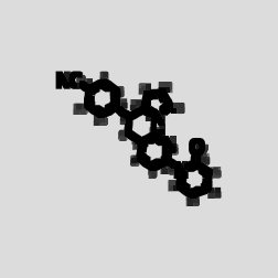 N#Cc1ccc(C(Cc2ccc(-n3ccccc3=O)nc2)c2ccc[nH]2)cc1